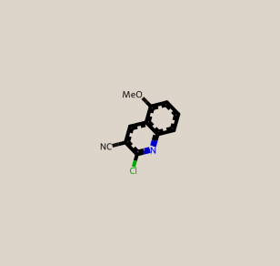 COc1cccc2nc(Cl)c(C#N)cc12